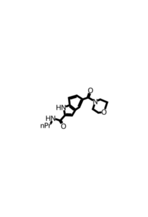 CCCNC(=O)c1cc2cc(C(=O)N3CCOCC3)ccc2[nH]1